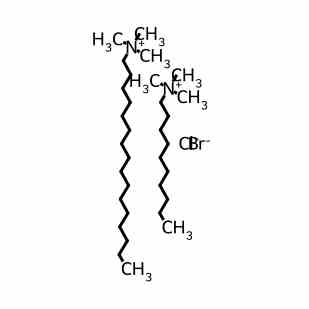 CCCCCCCCCCCCCCCC[N+](C)(C)C.CCCCCCCCCC[N+](C)(C)C.[Br-].[Cl-]